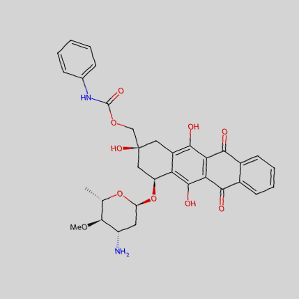 CO[C@H]1[C@H](C)O[C@@H](O[C@H]2C[C@](O)(COC(=O)Nc3ccccc3)Cc3c(O)c4c(c(O)c32)C(=O)c2ccccc2C4=O)C[C@@H]1N